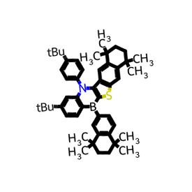 CC(C)(C)c1ccc(N2c3cc(C(C)(C)C)ccc3B(c3ccc4c(c3)C(C)(C)CCC4(C)C)c3sc4cc5c(cc4c32)C(C)(C)CCC5(C)C)cc1